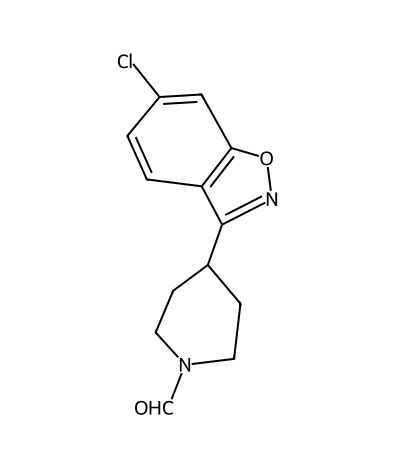 O=CN1CCC(c2noc3cc(Cl)ccc23)CC1